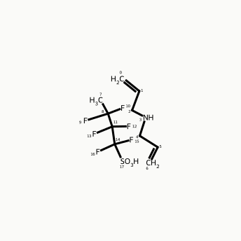 C=CCNCC=C.CC(F)(F)C(F)(F)C(F)(F)S(=O)(=O)O